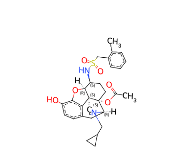 CC(=O)O[C@@]12CC[C@H](NS(=O)(=O)Cc3ccccc3C)[C@@H]3Oc4c(O)ccc5c4[C@@]31CCN(CC1CC1)[C@@H]2C5